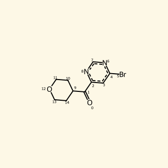 O=C(c1cc(Br)ncn1)C1CCOCC1